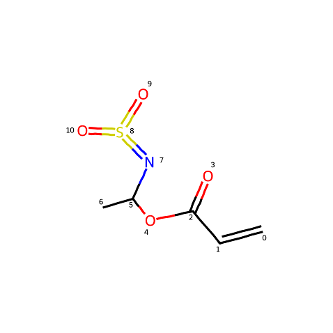 C=CC(=O)OC(C)N=S(=O)=O